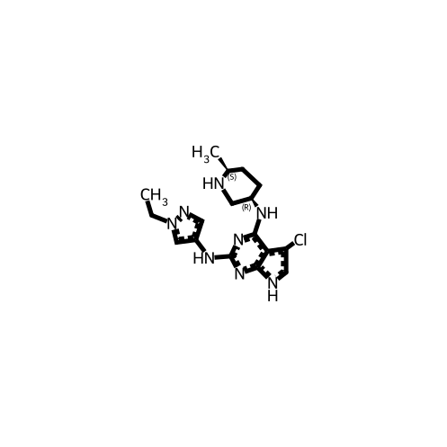 CCn1cc(Nc2nc(N[C@@H]3CC[C@H](C)NC3)c3c(Cl)c[nH]c3n2)cn1